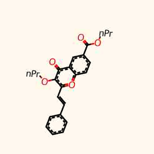 CCCOC(=O)c1ccc2oc(/C=C/c3ccccc3)c(OCCC)c(=O)c2c1